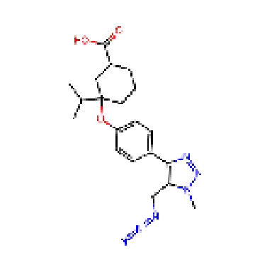 CC(C)C1(Oc2ccc(-c3nnn(C)c3CN=[N+]=[N-])cc2)CCCC(C(=O)O)C1